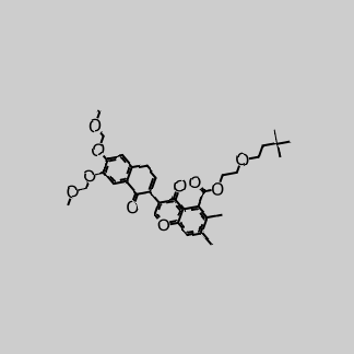 COCOc1cc2c(cc1OCOC)C(=O)C(c1coc3cc(C)c(C)c(C(=O)OCCOCCC(C)(C)C)c3c1=O)=CC2